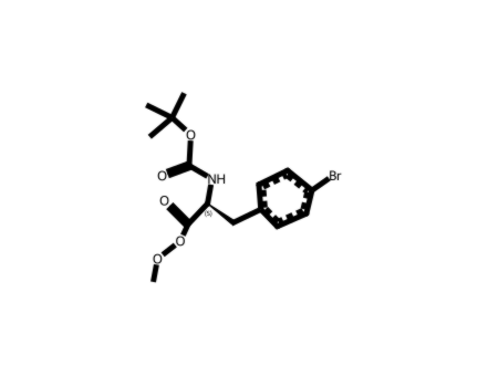 COOC(=O)[C@H](Cc1ccc(Br)cc1)NC(=O)OC(C)(C)C